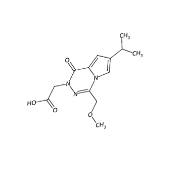 COCc1nn(CC(=O)O)c(=O)c2cc(C(C)C)cn12